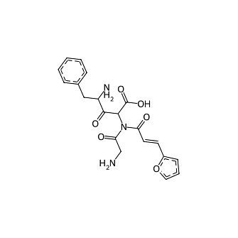 NCC(=O)N(C(=O)C=Cc1ccco1)C(C(=O)O)C(=O)C(N)Cc1ccccc1